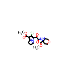 COCC1(NC(=O)C(=O)c2c(Cl)c(C(=O)OC)c3n2CCC3)CCOCC1